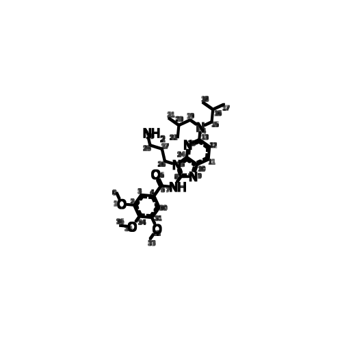 COc1cc(C(=O)Nc2nc3ccc(N(CC(C)C)CC(C)C)nc3n2CCCN)cc(OC)c1OC